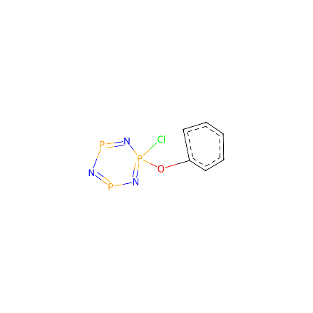 ClP1(Oc2ccccc2)=NP=NP=N1